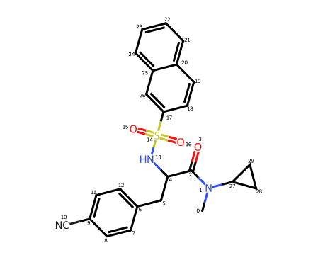 CN(C(=O)C(Cc1ccc(C#N)cc1)NS(=O)(=O)c1ccc2ccccc2c1)C1CC1